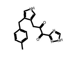 Cc1ccc(Cc2c[nH]cc2CC(=O)C(=O)c2nc[nH]n2)cc1